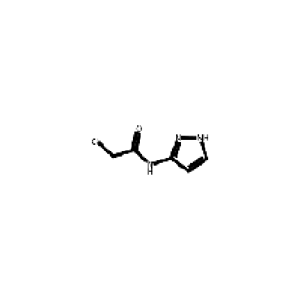 O=C(CCl)Nc1cc[nH]n1